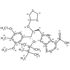 COc1cc([C@@H](O[Si](C)(C)C(C)(C)C)[C@H](Cc2nc3c(C(=O)O)cccc3s2)OC2CCCC2)cc(OC)c1C